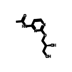 CC(=O)Nc1ccnc(OC[C@@H](O)CO)n1